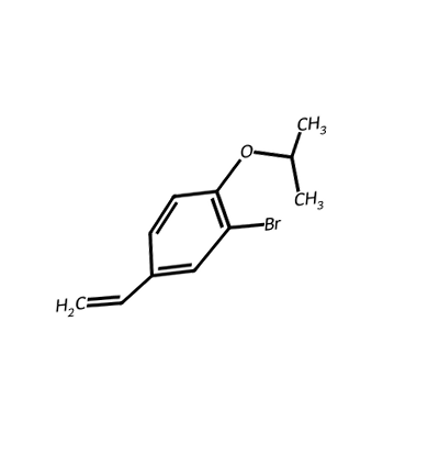 C=Cc1ccc(OC(C)C)c(Br)c1